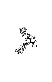 O.O=C(O)C(O)C(O)C(=O)O.O=S(=O)([O-])[O-].O=S(=O)([O-])[O-].O=S(=O)([O-])[O-].[Nd+3].[Nd+3]